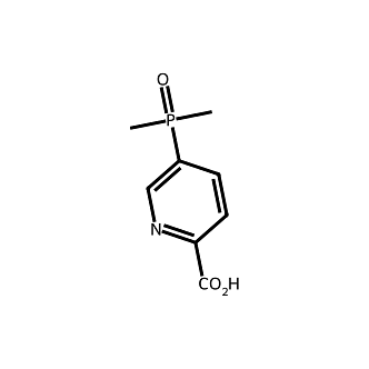 CP(C)(=O)c1ccc(C(=O)O)nc1